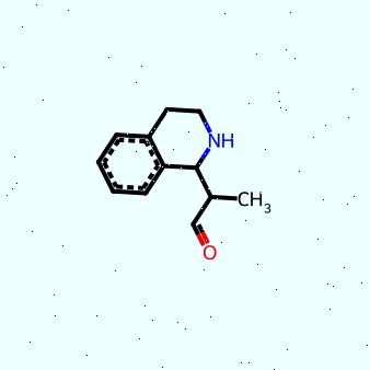 CC(C=O)C1NCCc2ccccc21